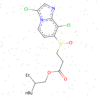 CCCCC(CC)COC(=O)CC[S+]([O-])c1ccn2c(Cl)cnc2c1Cl